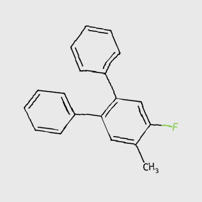 Cc1cc(-c2ccccc2)c(-c2ccccc2)cc1F